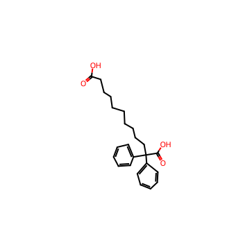 O=C(O)CCCCCCCCCC(C(=O)O)(c1ccccc1)c1ccccc1